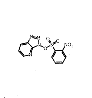 O=[N+]([O-])c1ccccc1S(=O)(=O)On1nnc2cccnc21